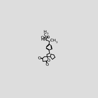 C[C@@H](NS(C)(=O)=O)c1ccc(CCC2(C3CCCC3)CC(=O)CC(=O)O2)cc1